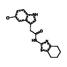 O=C(Cc1c[nH]c2ccc(Cl)cc12)Nc1nc2c(s1)CCCC2